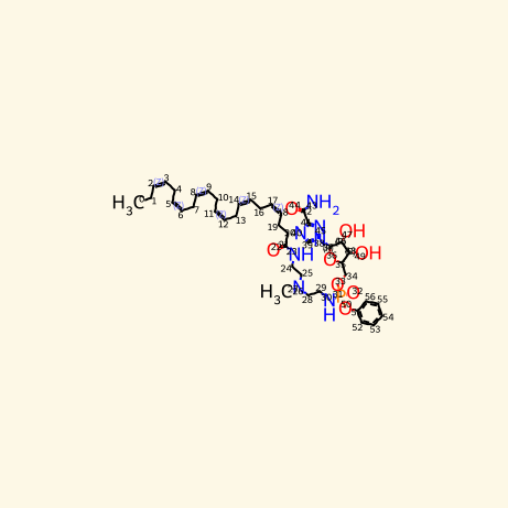 CC/C=C\C/C=C\C/C=C\C/C=C\C/C=C\C/C=C\CCC(=O)NCCN(C)CCNP(=O)(OCC1O[C@@H](n2cnc(C(N)=O)n2)[C@H](O)[C@@H]1O)Oc1ccccc1